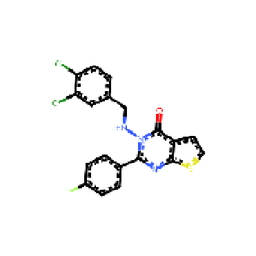 O=c1c2ccsc2nc(-c2ccc(F)cc2)n1NCc1ccc(Cl)c(Cl)c1